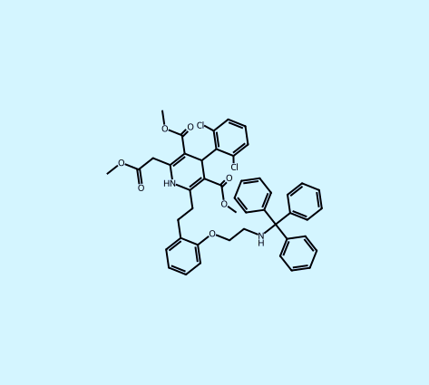 COC(=O)CC1=C(C(=O)OC)C(c2c(Cl)cccc2Cl)C(C(=O)OC)=C(CCc2ccccc2OCCNC(c2ccccc2)(c2ccccc2)c2ccccc2)N1